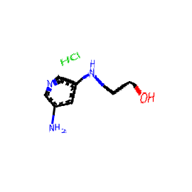 Cl.Nc1cncc(NCCO)c1